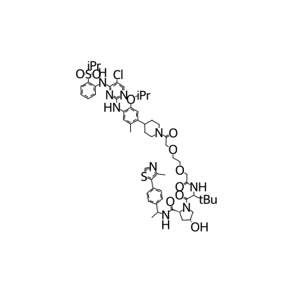 Cc1cc(Nc2ncc(Cl)c(Nc3ccccc3S(=O)(=O)C(C)C)n2)c(OC(C)C)cc1C1CCN(C(=O)COCCOCC(=O)NC(C(=O)N2C[C@H](O)C[C@H]2C(=O)NC(C)c2ccc(-c3scnc3C)cc2)C(C)(C)C)CC1